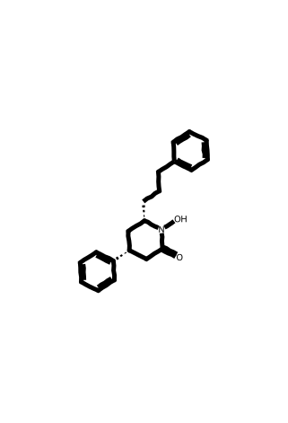 O=C1C[C@H](c2ccccc2)C[C@H](CCCc2ccccc2)N1O